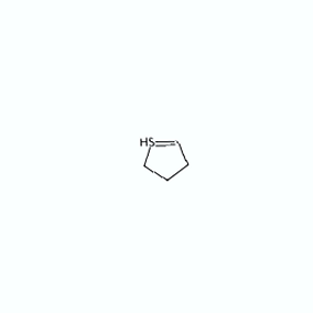 C1=[SH]CCC1